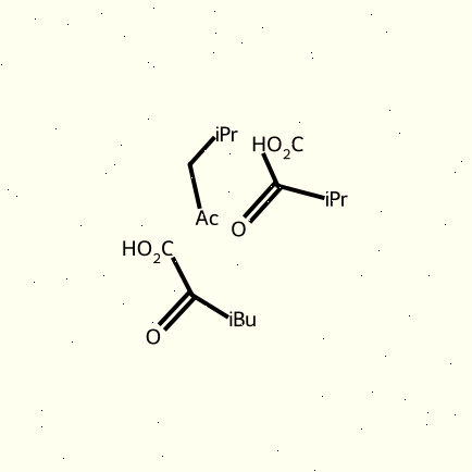 CC(=O)CC(C)C.CC(C)C(=O)C(=O)O.CCC(C)C(=O)C(=O)O